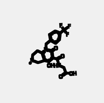 CN1CCc2c(c(O)c(C(=O)NCC(=O)O)c(=O)n2Cc2ccc(C(F)(F)F)cc2)C1